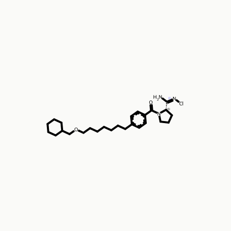 N/C(=N/Cl)[C@@H]1CCCN1C(=O)c1ccc(CCCCCCCOCC2CCCCC2)cc1